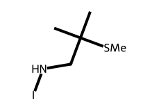 CSC(C)(C)CNI